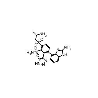 C[C@@H](N)CS(=O)(=O)c1ccc(-c2cccc3[nH]c(N)nc23)c(-c2nn[nH]n2)c1S(N)(=O)=O